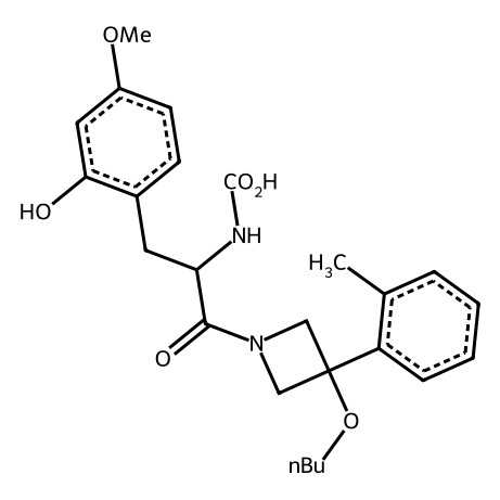 CCCCOC1(c2ccccc2C)CN(C(=O)C(Cc2ccc(OC)cc2O)NC(=O)O)C1